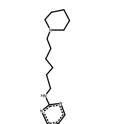 c1cnc(NCCCCCCN2CCCCC2)nc1